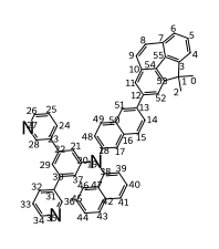 CC1(C)c2cccc3ccc4cc(-c5ccc6cc(N(c7cc(-c8cccnc8)cc(-c8cccnc8)c7)c7cccc8ccccc78)ccc6c5)cc1c4c23